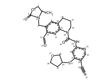 CC1COC(=O)N1Cc1cc2c(nc1C=O)N(C(=O)Nc1cc(SC3CCOC3)c(C#N)cn1)CCC2